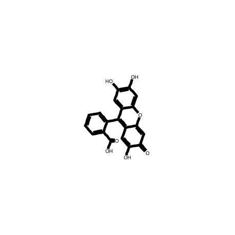 O=C(O)c1ccccc1-c1c2cc(O)c(=O)cc-2oc2cc(O)c(O)cc12